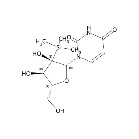 C[Si](C)(C)[C@@]1(O)[C@H](O)[C@@H](CO)O[C@H]1n1ccc(=O)[nH]c1=O